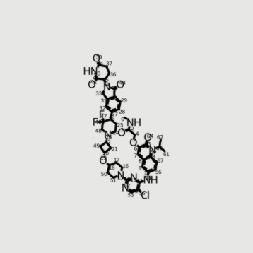 CNC(=O)COc1cc2cc(Nc3nc(N4CCC(O[C@H]5C[C@H](N6CCC(c7ccc8c(c7)CN(C7CCC(=O)NC7=O)C8=O)C(F)(F)C6)C5)CC4)ncc3Cl)ccc2n(C(C)C)c1=O